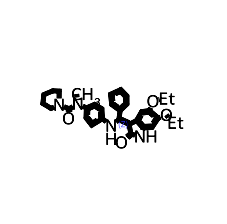 CCOc1cc2c(cc1OCC)/C(=C(/Nc1ccc(N(C)C(=O)N3CCCCC3)cc1)c1ccccc1)C(=O)N2